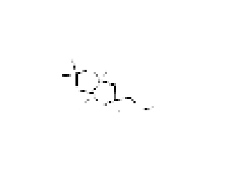 CCCCOC[C@@]1(C=O)O[C@@H]2OC(C)(C)O[C@@H]2[C@@H]1F